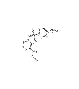 CC(=O)CNc1cccc(NS(=O)(=O)c2ccc(NC(C)=O)cc2)c1